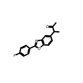 CC(=O)C(C)c1ccc2oc(-c3ccc(F)cc3)nc2c1